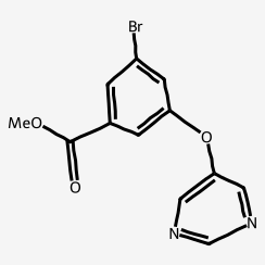 COC(=O)c1cc(Br)cc(Oc2cncnc2)c1